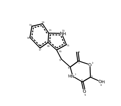 C=C1OC(O)C(=O)NC1Cc1c[nH]c2ccccc12